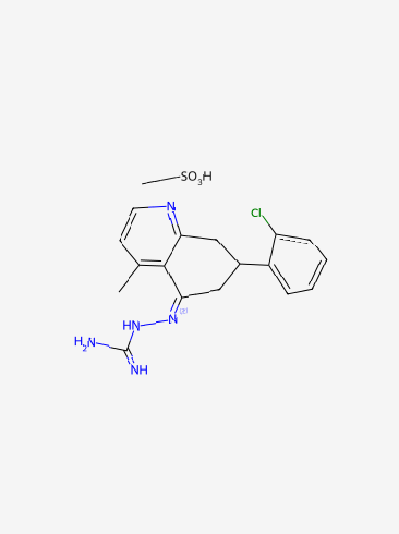 CS(=O)(=O)O.Cc1ccnc2c1/C(=N\NC(=N)N)CC(c1ccccc1Cl)C2